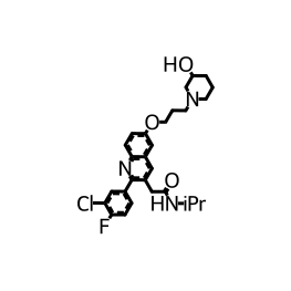 CC(C)NC(=O)Cc1cc2cc(OCCCN3CCCC(O)C3)ccc2nc1-c1ccc(F)c(Cl)c1